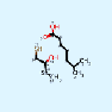 CC(C)CCCCC(=O)O.[CH3][Sn][CH](O)CS